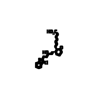 O=C(O)CCCC=CC[C@H]1C(=O)CCC[C@@H]1C=CC(O)CCc1sc2ccccc2c1Cl